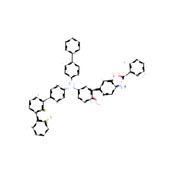 c1ccc(-c2ccc(N(c3ccc(-c4cccc5c4sc4ccccc45)cc3)c3ccc4oc5cc6nc(-c7ccccc7)oc6cc5c4c3)cc2)cc1